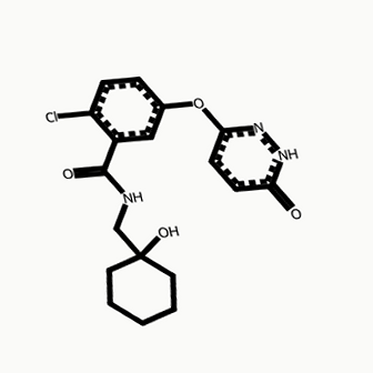 O=C(NCC1(O)CCCCC1)c1cc(Oc2ccc(=O)[nH]n2)ccc1Cl